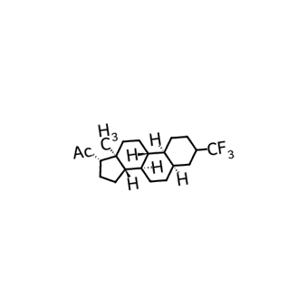 CC(=O)[C@H]1CC[C@H]2[C@@H]3CC[C@@H]4CC(C(F)(F)F)CC[C@@H]4[C@H]3CC[C@]12C